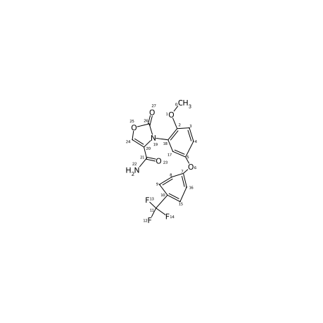 COc1ccc(Oc2ccc(C(F)(F)F)cc2)cc1-n1c(C(N)=O)coc1=O